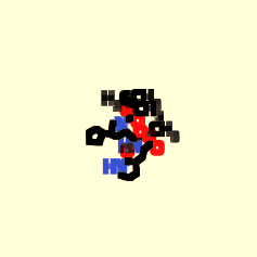 COC(=O)C(CC1CCCNC1=O)NC(=O)C1CC(C2CCCC2)CN1C(=O)OC(C)(C)C